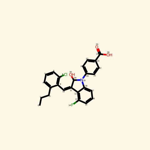 CCCc1cccc(Cl)c1/C=C1/c2c(F)cccc2N(c2ccc(C(=O)O)cc2)C1O